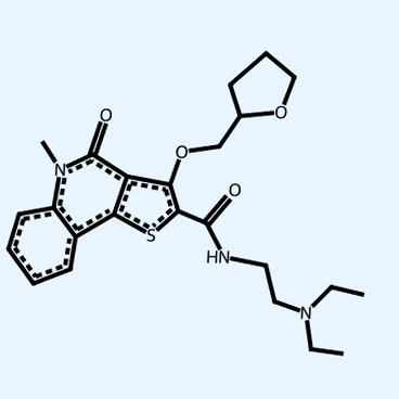 CCN(CC)CCNC(=O)c1sc2c(c1OCC1CCCO1)c(=O)n(C)c1ccccc21